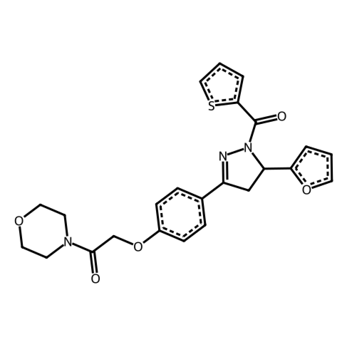 O=C(COc1ccc(C2=NN(C(=O)c3cccs3)C(c3ccco3)C2)cc1)N1CCOCC1